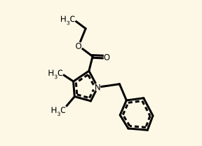 CCOC(=O)c1c(C)c(C)cn1Cc1ccccc1